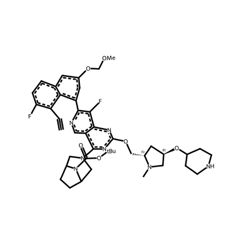 C#Cc1c(F)ccc2cc(OCOC)cc(-c3ncc4c(N5CC6CCC(C5)N6C(=O)OC(C)(C)C)nc(OC[C@@H]5C[C@@H](OC6CCNCC6)CN5C)nc4c3F)c12